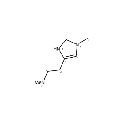 CNCCC1=CN(C)CN1